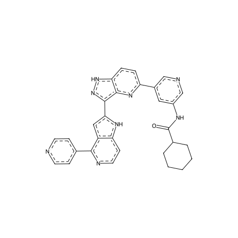 O=C(Nc1cncc(-c2ccc3[nH]nc(-c4cc5c(-c6ccncc6)nccc5[nH]4)c3n2)c1)C1CCCCC1